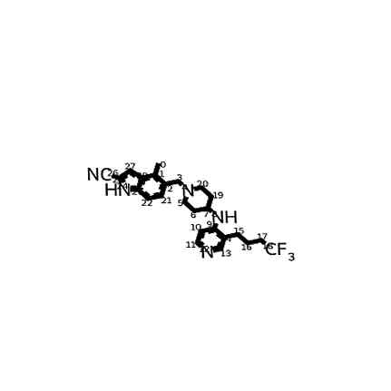 Cc1c(CN2CCC(Nc3ccncc3CCCC(F)(F)F)CC2)ccc2[nH]c(C#N)cc12